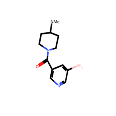 Bc1cncc(C(=O)N2CCC(NC)CC2)c1